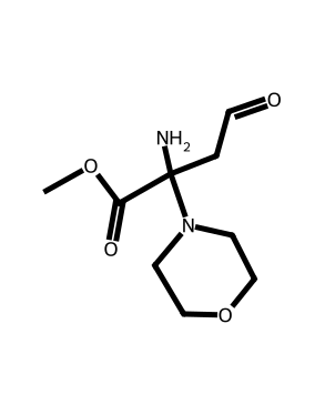 COC(=O)C(N)(CC=O)N1CCOCC1